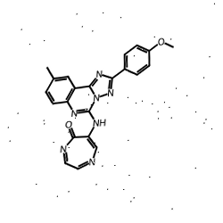 COc1ccc(-c2nc3c4cc(C)ccc4nc(Nc4cnccnc4=O)n3n2)cc1